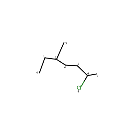 CCC(C)CCC(C)Cl